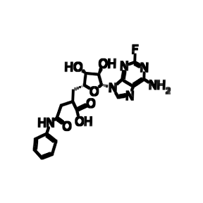 Nc1nc(F)nc2c1ncn2[C@@H]1O[C@H](CC(CC(=O)Nc2ccccc2)C(=O)O)[C@@H](O)[C@H]1O